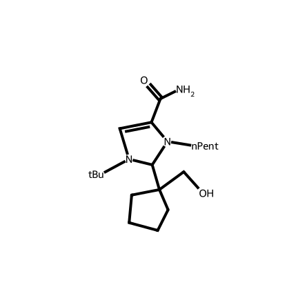 CCCCCN1C(C(N)=O)=CN(C(C)(C)C)C1C1(CO)CCCC1